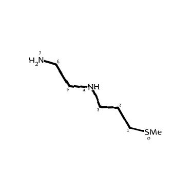 CSCCCNCCN